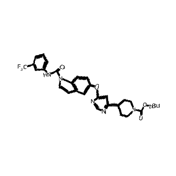 CC(C)(C)OC(=O)N1CCC(c2cc(Oc3ccc4c(ccn4C(=O)Nc4cccc(C(F)(F)F)c4)c3)ncn2)CC1